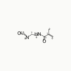 C=C(C)C(=O)NCCN=C=O